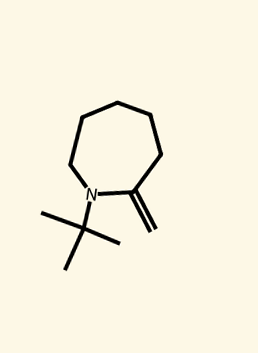 C=C1CCCCCN1C(C)(C)C